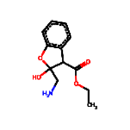 CCOC(=O)C1c2ccccc2OC1(O)CN